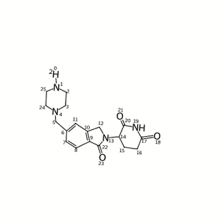 [2H]N1CCN(Cc2ccc3c(c2)CN(C2CCC(=O)NC2=O)C3=O)CC1